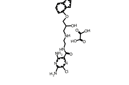 Nc1nc(N)c(C(=O)NCCNCC(O)COc2cccc3[nH]ccc23)nc1Cl.O=C(O)C(=O)O